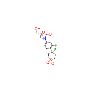 O=C1O[C@@H](CO)CN1c1ccc(C2(F)CCS(=O)(=O)CC2)c(F)c1